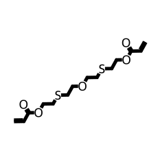 C=CC(=O)OCCSCCOCCSCCOC(=O)C=C